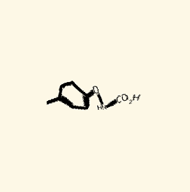 Cc1ccc(ONC(=O)O)cc1